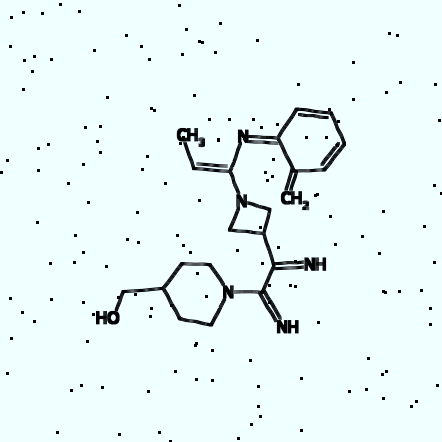 C=C1C=CC=C/C1=N/C(=C\C)N1CC(C(=N)C(=N)N2CCC(CO)CC2)C1